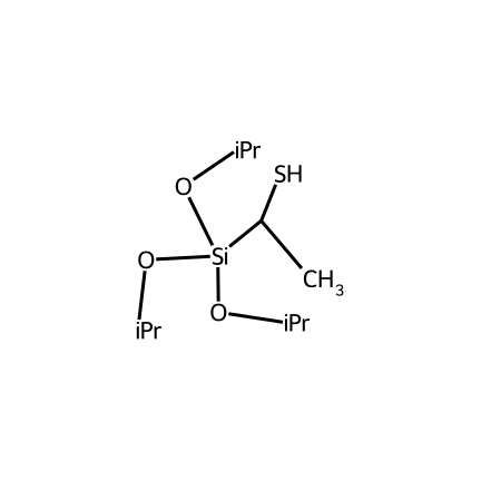 CC(C)O[Si](OC(C)C)(OC(C)C)C(C)S